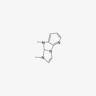 CN1C=CN2c3ncccc3N(C)C12